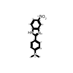 CN(C)c1ccc(-c2nc3cc([N+](=O)[O-])ccc3[nH]2)cc1